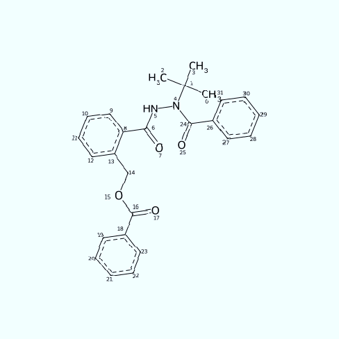 CC(C)(C)N(NC(=O)c1ccccc1COC(=O)c1ccccc1)C(=O)c1ccccc1